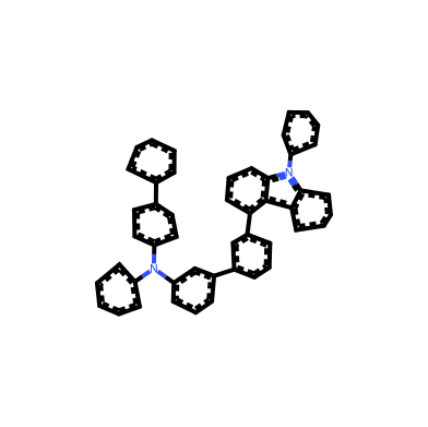 c1ccc(-c2ccc(N(c3ccccc3)c3cccc(-c4cccc(-c5cccc6c5c5ccccc5n6-c5ccccc5)c4)c3)cc2)cc1